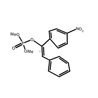 COP(=O)(OC)O/C(=C/c1ccccc1)c1ccc([N+](=O)[O-])cc1